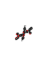 Fc1ccc(-c2cc3cc4c(cc(-c5ccc(F)cc5)n4-c4ccc(N(c5ccccc5)c5ccc6ccccc6c5)cc4)cc3n2-c2ccc(N(c3ccccc3)c3ccc4ccccc4c3)cc2)cc1